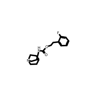 O=C(NC1CN2CCC1CC2)OCCc1ccccc1F